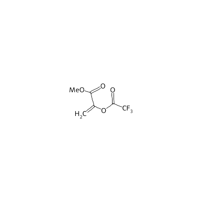 C=C(OC(=O)C(F)(F)F)C(=O)OC